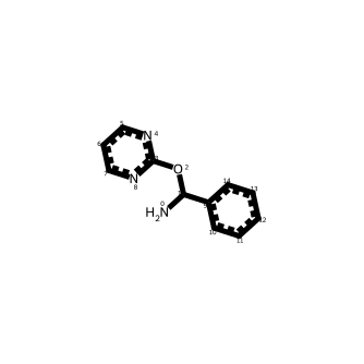 NC(Oc1ncccn1)c1ccccc1